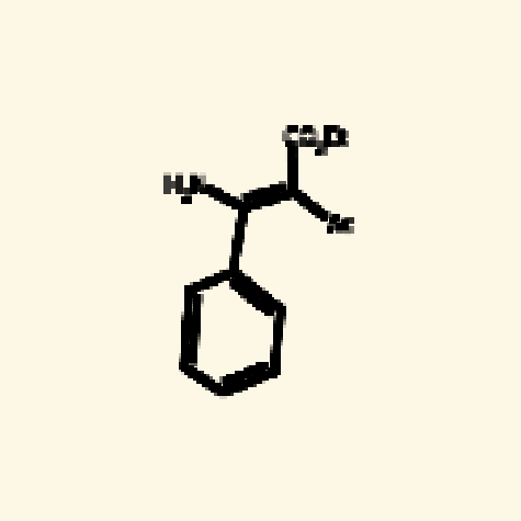 CCOC(=O)C(C(C)=O)=C(N)c1ccccc1